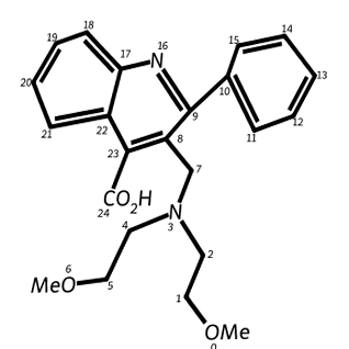 COCCN(CCOC)Cc1c(-c2ccccc2)nc2ccccc2c1C(=O)O